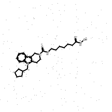 O=C(CCCCCCNC(=O)N1CCc2c(c3ccccc3n2CC2CCCC2)C1)NO